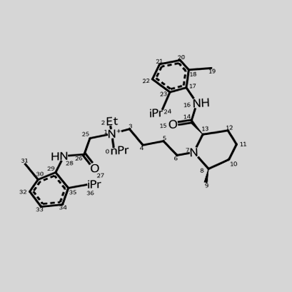 CCC[N+](CC)(CCCCN1[C@H](C)CCC[C@@H]1C(=O)Nc1c(C)cccc1C(C)C)CC(=O)Nc1c(C)cccc1C(C)C